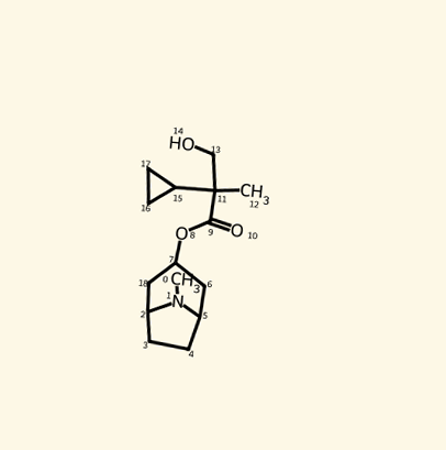 CN1C2CCC1CC(OC(=O)C(C)(CO)C1CC1)C2